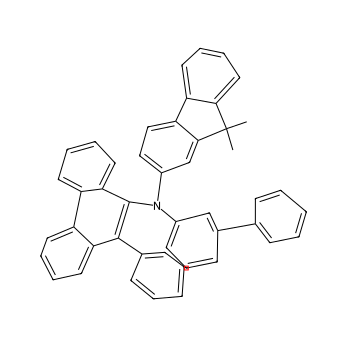 CC1(C)c2ccccc2-c2ccc(N(c3cccc(-c4ccccc4)c3)c3c(-c4ccccc4)c4ccccc4c4ccccc34)cc21